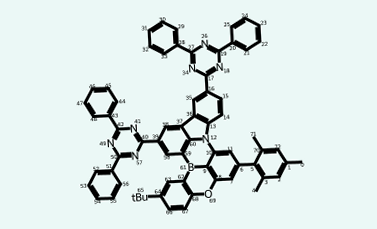 Cc1cc(C)c(-c2cc3c4c(c2)-n2c5ccc(-c6nc(-c7ccccc7)nc(-c7ccccc7)n6)cc5c5cc(-c6nc(-c7ccccc7)nc(-c7ccccc7)n6)cc(c52)B4c2cc(C(C)(C)C)ccc2O3)c(C)c1